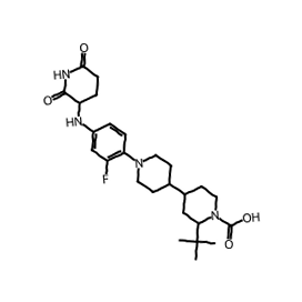 CC(C)(C)C1CC(C2CCN(c3ccc(NC4CCC(=O)NC4=O)cc3F)CC2)CCN1C(=O)O